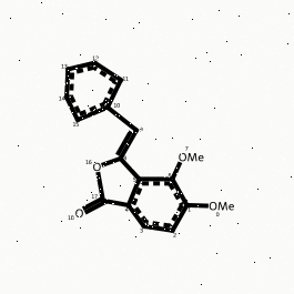 COc1ccc2c(c1OC)C(=Cc1ccccc1)OC2=O